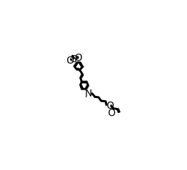 C=CC(=O)OCCCCCCN(C)c1ccc(/C=C/c2ccc(S(C)(=O)=O)cc2)cc1